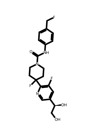 O=C(Nc1ccc(CF)cc1)N1CCC(F)(c2ncc([C@@H](O)CO)cc2F)CC1